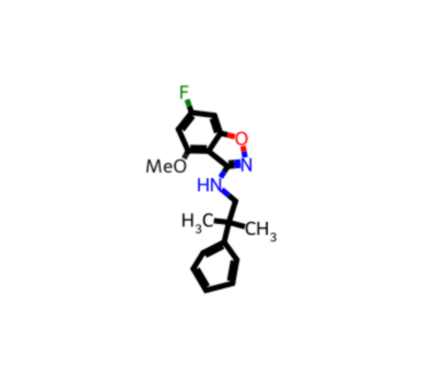 COc1cc(F)cc2onc(NCC(C)(C)c3ccccc3)c12